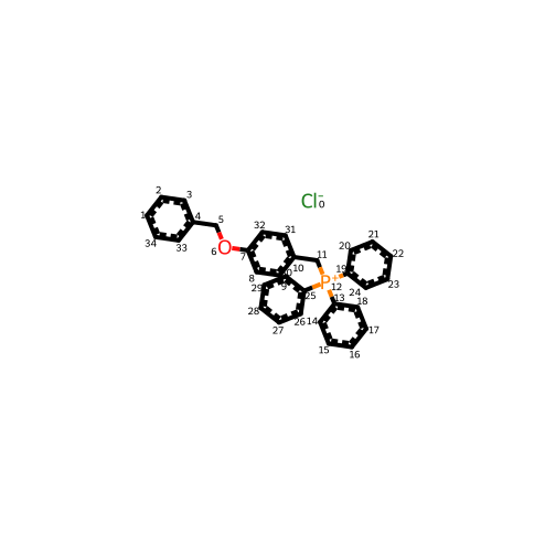 [Cl-].c1ccc(COc2ccc(C[P+](c3ccccc3)(c3ccccc3)c3ccccc3)cc2)cc1